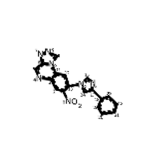 O=[N+]([O-])c1cc2ncc3nncn3c2cc1-n1cnc(-c2ccccc2)c1